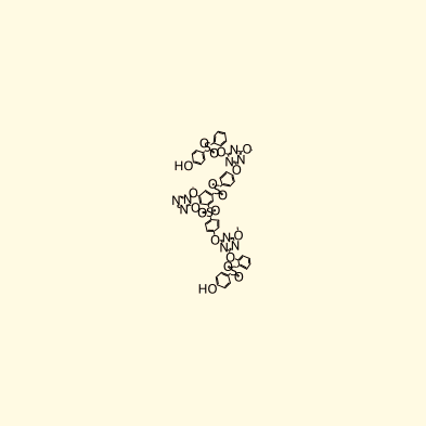 COc1nc(Oc2ccc(S(=O)(=O)c3cc(OC)c(Oc4ncncn4)c(S(=O)(=O)c4ccc(Oc5nc(OC)nc(Oc6ccccc6S(=O)(=O)c6ccc(O)cc6)n5)cc4)c3)cc2)nc(Oc2ccccc2S(=O)(=O)c2ccc(O)cc2)n1